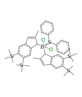 CC1=Cc2cc([Si](C)(C)C)c([Si](C)(C)C)cc2[CH]1[Zr]([Cl])([Cl])([CH]1C(C)=Cc2cc([Si](C)(C)C)c([Si](C)(C)C)cc21)=[Si](c1ccccc1)c1ccccc1